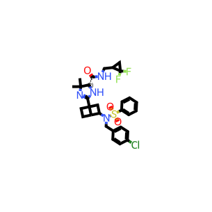 CC1(C)N=C(C23CCC2C(N(Cc2ccc(Cl)cc2)S(=O)(=O)c2ccccc2)C3)N[C@H]1C(=O)NCC1CC1(F)F